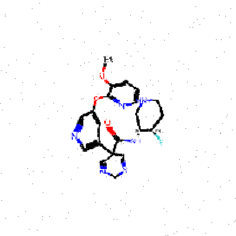 CCOc1cccnc1Oc1cncc(C2(C(=O)N[C@@H]3CNCC[C@H]3F)C=NCN=C2)c1